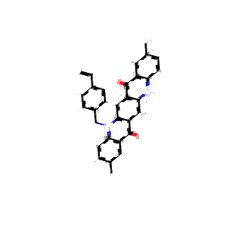 C=Cc1ccc(Cn2c3ccc(C)cc3c(=O)c3cc4[nH]c5ccc(C)cc5c(=O)c4cc32)cc1